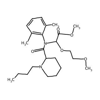 CCCCN1CCCCC1C(=O)N(c1c(C)cccc1C)C(OCCOC)C(=O)OC